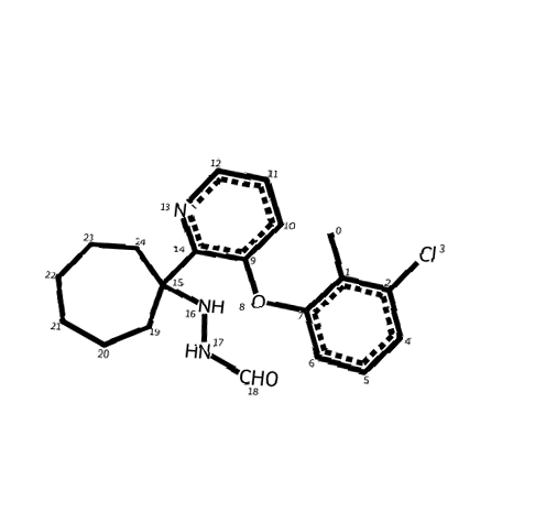 Cc1c(Cl)cccc1Oc1cccnc1C1(NNC=O)CCCCCC1